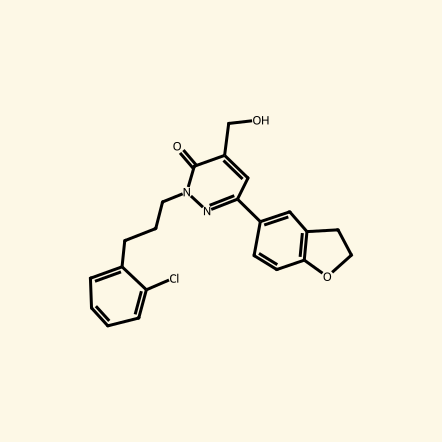 O=c1c(CO)cc(-c2ccc3c(c2)CCO3)nn1CCCc1ccccc1Cl